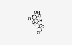 COc1cc(O)c(Cl)c(NC(=O)c2coc(CCl)c2C)c1Cl